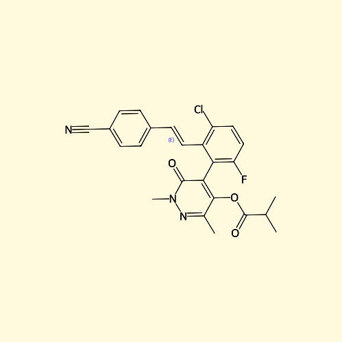 Cc1nn(C)c(=O)c(-c2c(F)ccc(Cl)c2/C=C/c2ccc(C#N)cc2)c1OC(=O)C(C)C